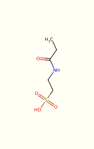 CCC(=O)NCCS(=O)(=O)O